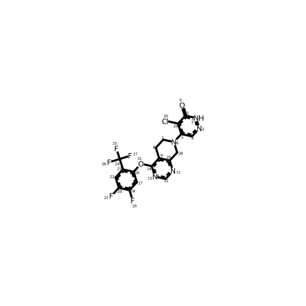 O=c1[nH]ncc(N2CCc3c(ncnc3Oc3cc(F)c(F)cc3C(F)(F)F)C2)c1Cl